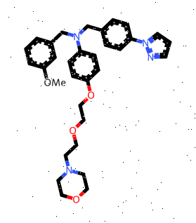 COc1cccc(CN(Cc2ccc(-n3cccn3)cc2)c2ccc(OCCOCCN3CCOCC3)cc2)c1